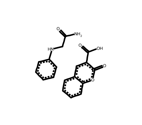 NC(=O)CNc1ccccc1.O=C(O)c1cc2ccccc2oc1=O